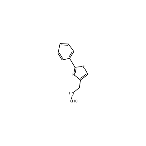 O=CNCc1csc(-c2ccccc2)n1